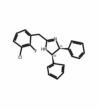 Fc1c(Cl)cccc1CC1=N[C@@H](c2ccccc2)[C@@H](c2ccccc2)N1